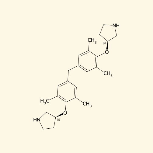 Cc1cc(Cc2cc(C)c(O[C@H]3CCNC3)c(C)c2)cc(C)c1O[C@H]1CCNC1